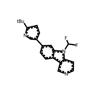 CC(C)(C)c1ccc(-c2ccc3c4cnccc4n(C(F)F)c3c2)cn1